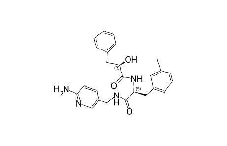 Cc1cccc(C[C@H](NC(=O)[C@H](O)Cc2ccccc2)C(=O)NCc2ccc(N)nc2)c1